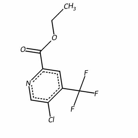 CCOC(=O)c1cc(C(F)(F)F)c(Cl)cn1